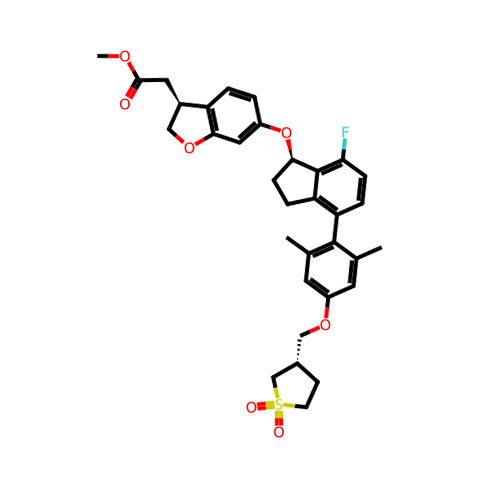 COC(=O)C[C@@H]1COc2cc(O[C@@H]3CCc4c(-c5c(C)cc(OC[C@@H]6CCS(=O)(=O)C6)cc5C)ccc(F)c43)ccc21